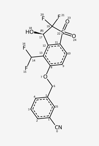 N#Cc1cccc(COc2ccc3c(c2C(F)F)[C@@H](O)C(F)(F)S3(=O)=O)c1